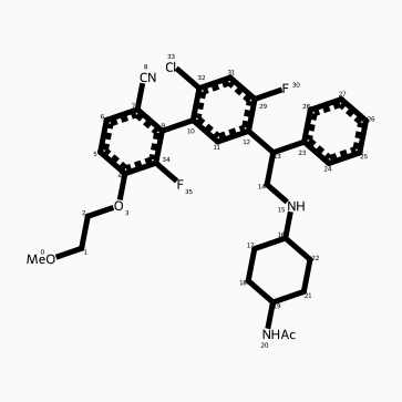 COCCOc1ccc(C#N)c(-c2cc(C(CNC3CCC(NC(C)=O)CC3)c3ccccc3)c(F)cc2Cl)c1F